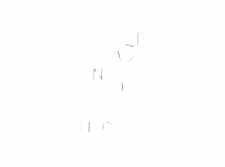 CN1CC(/C=C\CCCC(=O)O)C(c2ccc(F)cc2)C1